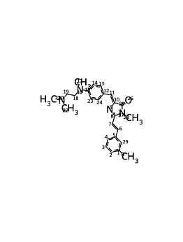 Cc1cccc(/C=C/C2=NC(=C\c3ccc(N(C)CCN(C)C)cc3)/C(=O)N2C)c1